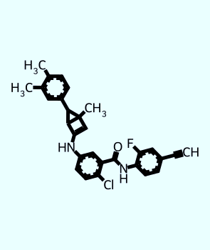 C#Cc1ccc(NC(=O)c2cc(NC3=CC4(C)C3C4c3ccc(C)c(C)c3)ccc2Cl)c(F)c1